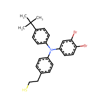 CC(C)(C)c1ccc(N(c2ccc(CCS)cc2)c2ccc(Br)c(Br)c2)cc1